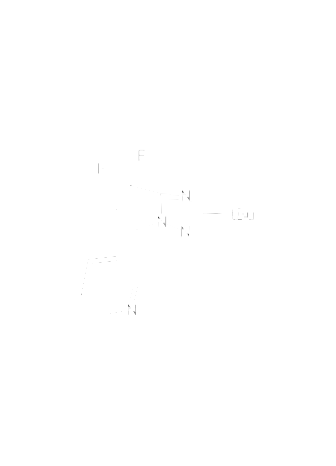 CC(C)(C)c1nc2n(n1)C(c1cccnc1)CC2(F)F